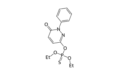 CCOP(=S)(OCC)Oc1ccc(=O)n(-c2ccccc2)n1